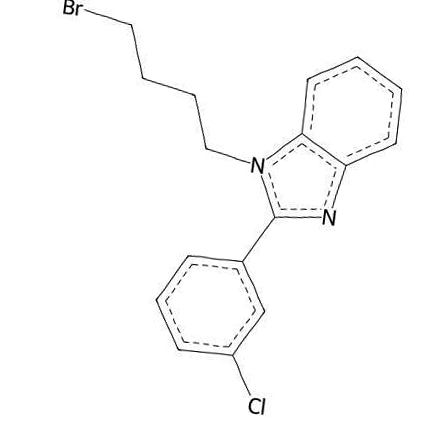 Clc1cccc(-c2nc3ccccc3n2CCCCBr)c1